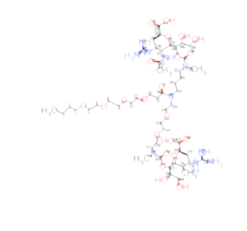 CCCCOCCOCCOCCOCCC(=O)N(CCCCN(C)C(=O)O[C@@H]([C@@H]1OC(C(=O)O)=C[C@H](NC(=N)N)[C@H]1NC(C)=O)[C@H](O)CO)CCOCCOCCN(C)C(=O)O[C@@H]([C@@H]1OC(C(=O)O)=C[C@H](NC(=N)N)[C@H]1C)[C@H](O)CO